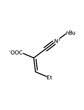 CCC=C(C#[N+]CCCC)C(=O)[O-]